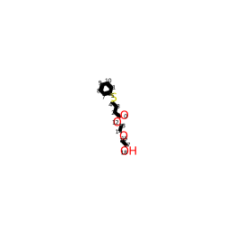 O=C(CCCSc1ccccc1)OCCOCCO